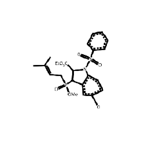 CCOC(=O)C1C(P(=O)(CC=C(C)C)OC)c2cc(Cl)ccc2N1S(=O)(=O)c1ccccc1